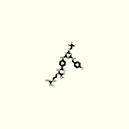 N=C(N)NCCC[C@@H](NC(=O)c1ccc(Nc2nc(NCc3ccc(Cl)cc3)nc(OCC(F)(F)F)n2)cc1)C(=O)O